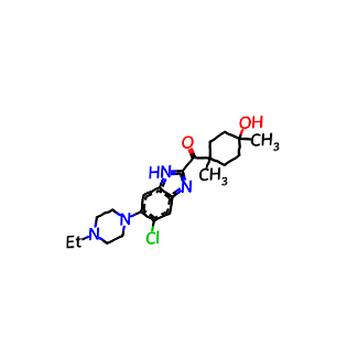 CCN1CCN(c2cc3[nH]c(C(=O)C4(C)CCC(C)(O)CC4)nc3cc2Cl)CC1